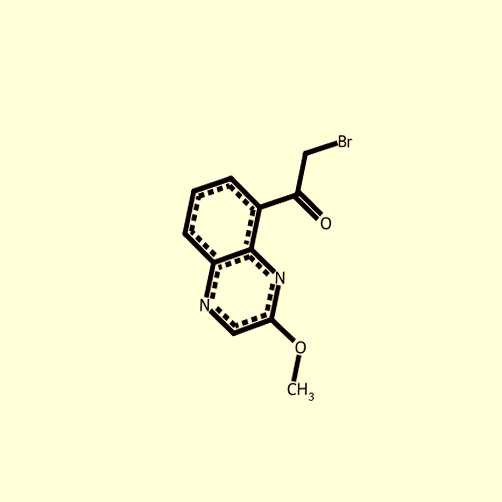 COc1cnc2cccc(C(=O)CBr)c2n1